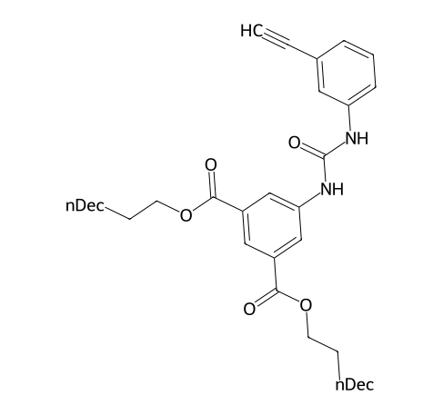 C#Cc1cccc(NC(=O)Nc2cc(C(=O)OCCCCCCCCCCCC)cc(C(=O)OCCCCCCCCCCCC)c2)c1